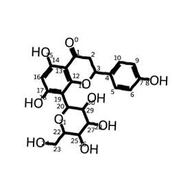 O=C1CC(c2ccc(O)cc2)Oc2c1c(O)cc(O)c2C1OC(CO)C(O)C(O)C1O